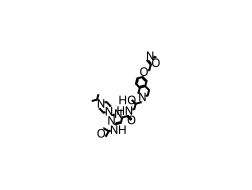 CC(C)N1CCN(c2nc(NC3COC3)cc(C(=O)NCC(O)CN3CCc4cc(OCc5cnco5)ccc4C3)n2)CC1